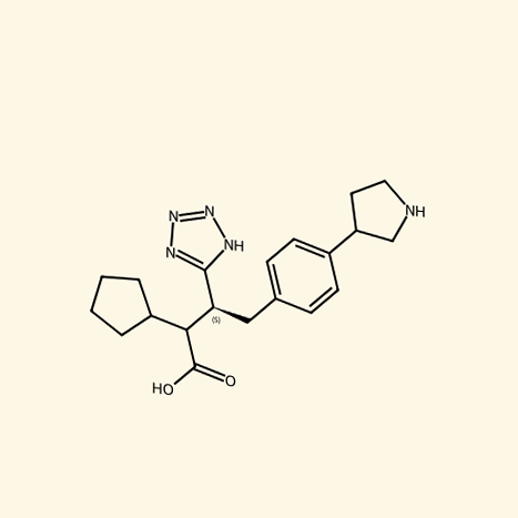 O=C(O)C(C1CCCC1)[C@H](Cc1ccc(C2CCNC2)cc1)c1nnn[nH]1